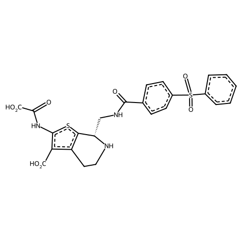 O=C(O)C(=O)Nc1sc2c(c1C(=O)O)CCN[C@H]2CNC(=O)c1ccc(S(=O)(=O)c2ccccc2)cc1